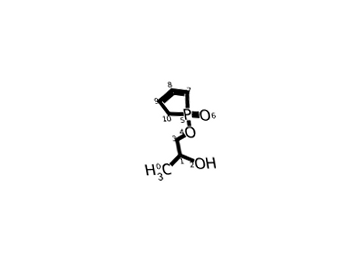 CC(O)COP1(=O)C=C=CC1